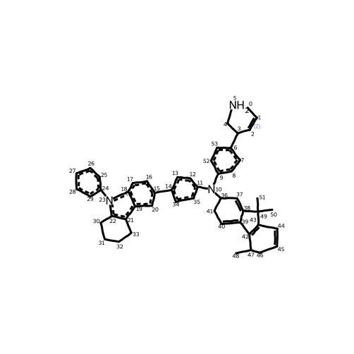 C/C=C\C(CN)c1ccc(N(c2ccc(-c3ccc4c(c3)c3c(n4-c4ccccc4)CCCC3)cc2)C2C=C3C(=CC2)C2=C(C=CCC2C)C3(C)C)cc1